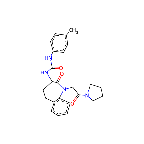 Cc1ccc(NC(=O)NC2CCc3ccccc3N(CC(=O)N3CCCC3)C2=O)cc1